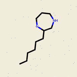 CCCCCCC1CNCCC[N]1